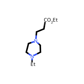 CCOC(=O)CCN1CCN(CC)CC1